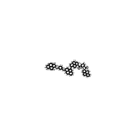 O=C(c1cccc(C(=O)c2ccc3ccc4ccc(-c5cc6cccc7ccc8c(Cc9cccc(Cc%10ccc%11ccc%12cccc%13ccc%10c%11c%12%13)c9)ccc5c8c76)c5ccc2c3c45)n1)c1ccc2ccc3cccc4ccc1c2c34